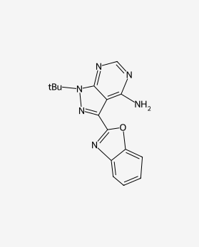 CC(C)(C)n1nc(-c2nc3ccccc3o2)c2c(N)ncnc21